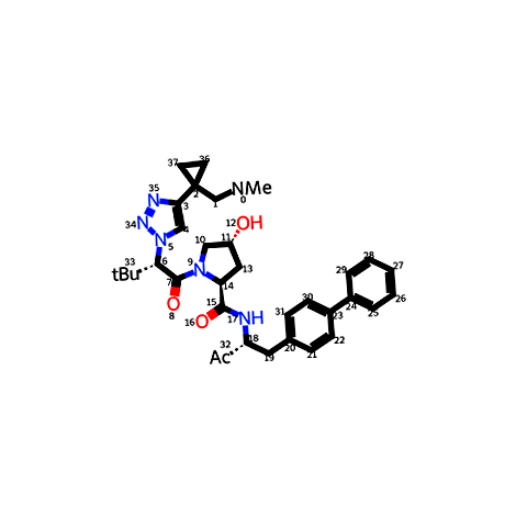 CNCC1(c2cn([C@H](C(=O)N3C[C@H](O)C[C@H]3C(=O)N[C@H](Cc3ccc(-c4ccccc4)cc3)C(C)=O)C(C)(C)C)nn2)CC1